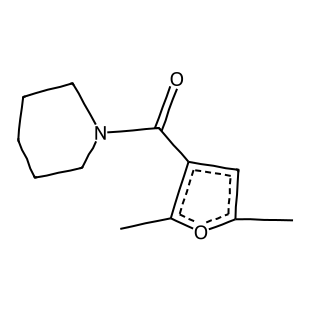 Cc1cc(C(=O)N2CCCCC2)c(C)o1